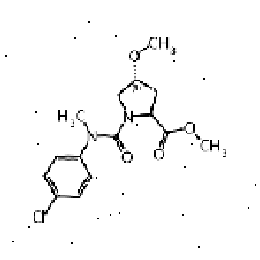 COC(=O)C1C[C@@H](OC)CN1C(=O)N(C)c1ccc(Cl)cc1